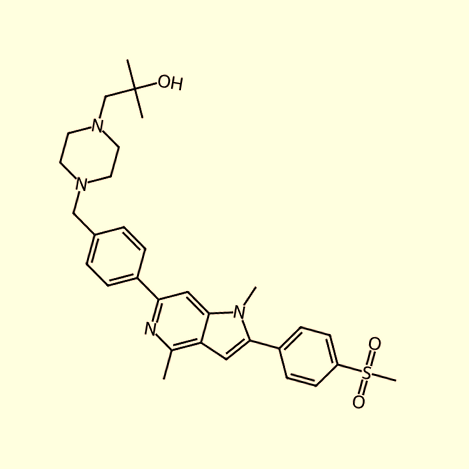 Cc1nc(-c2ccc(CN3CCN(CC(C)(C)O)CC3)cc2)cc2c1cc(-c1ccc(S(C)(=O)=O)cc1)n2C